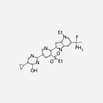 CCn1cc(C(C)(F)P)cc2nc(-c3ncc(-c4ncc(C5CC5)c(O)n4)cc3S(=O)(=O)CC)cc1-2